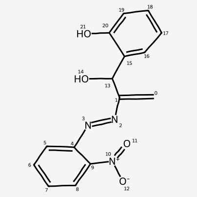 C=C(N=Nc1ccccc1[N+](=O)[O-])C(O)c1ccccc1O